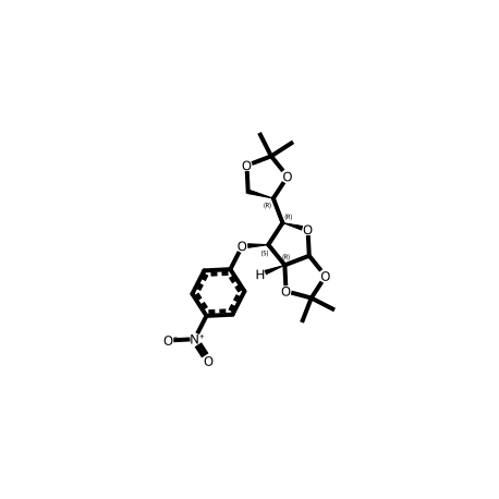 CC1(C)OC[C@H]([C@H]2OC3OC(C)(C)O[C@@H]3[C@H]2Oc2ccc([N+](=O)[O-])cc2)O1